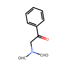 O=CN(C=O)CC(=O)c1ccccc1